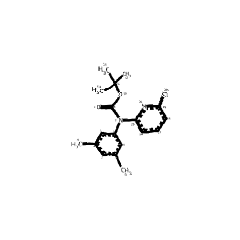 Cc1cc(C)cc(N(C(=O)OC(C)(C)C)c2cccc(Cl)n2)c1